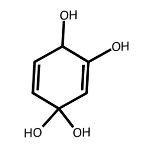 OC1=CC(O)(O)C=CC1O